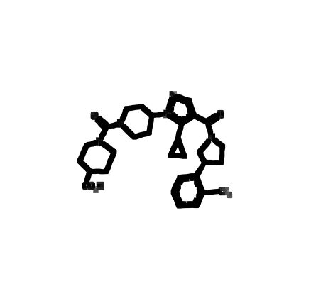 O=C(O)C1CCN(C(=O)N2CCC(n3ncc(C(=O)N4CC[C@@H](c5ccccc5C(F)(F)F)C4)c3C3CC3)CC2)CC1